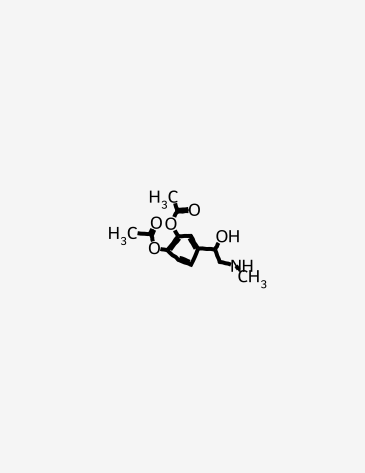 CNCC(O)c1ccc(OC(C)=O)c(OC(C)=O)c1